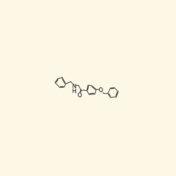 O=C(CNCc1ccccc1)c1ccc(OCc2ccccc2)cc1